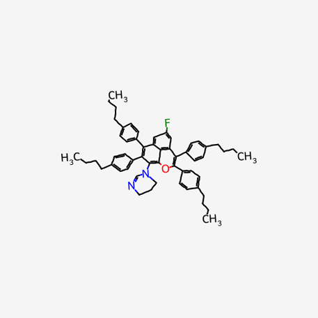 CCCCc1ccc(C2=C(c3ccc(CCCC)cc3)c3cc(F)cc4c(-c5ccc(CCCC)cc5)c(-c5ccc(CCCC)cc5)c(N5C=NCCC5)c(c34)O2)cc1